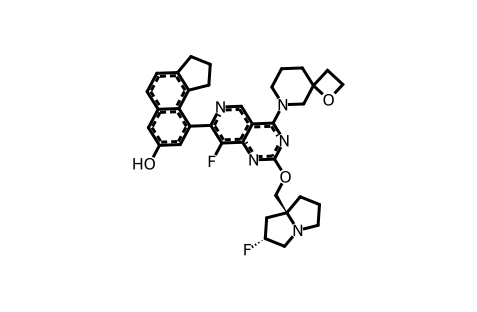 Oc1cc(-c2ncc3c(N4CCCC5(CCO5)C4)nc(OC[C@@]45CCCN4C[C@H](F)C5)nc3c2F)c2c3c(ccc2c1)CCC3